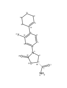 NC(=O)[C@H]1CN(c2ccc(C3=CCCCC3)c(F)c2)C(=O)O1